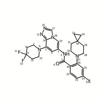 O=C(Nc1cc(N2CCC(F)(F)CC2)c2nncn2c1)c1ccc(I)cc1N1CCC2(CC1)CC2